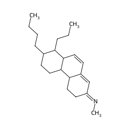 CCCCC1CCC2C3CC/C(=N\C)C=C3C=CC2C1CCC